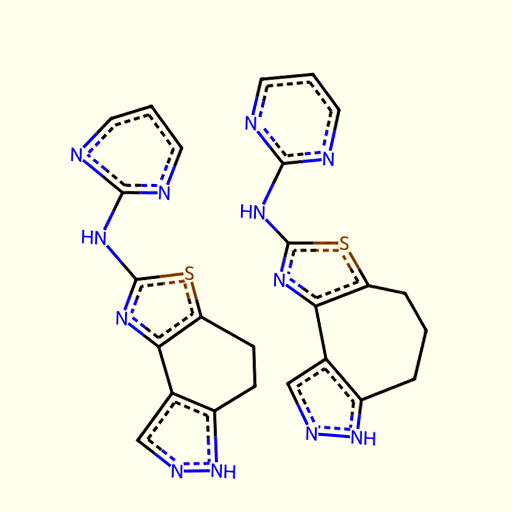 c1cnc(Nc2nc3c(s2)CCCc2[nH]ncc2-3)nc1.c1cnc(Nc2nc3c(s2)CCc2[nH]ncc2-3)nc1